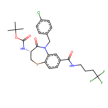 CC(C)(C)OC(=O)N[C@H]1CSc2ccc(C(=O)NCCCC(F)(F)F)cc2N(Cc2ccc(Cl)cc2)C1=O